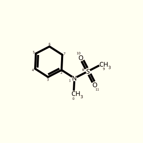 CN(C1=CC=CCC1)S(C)(=O)=O